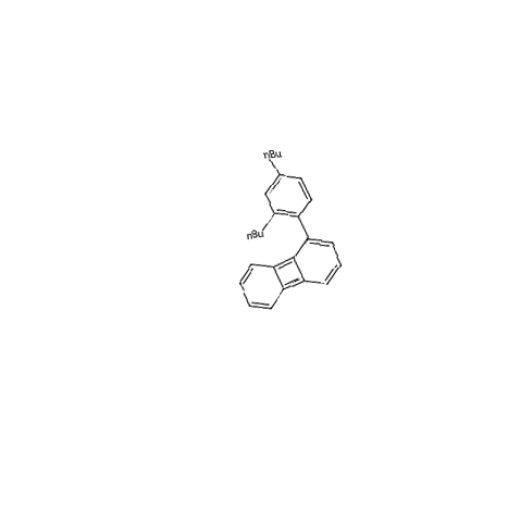 CCCCc1ccc(-c2cccc3c2=c2ccccc2=3)c(CCCC)c1